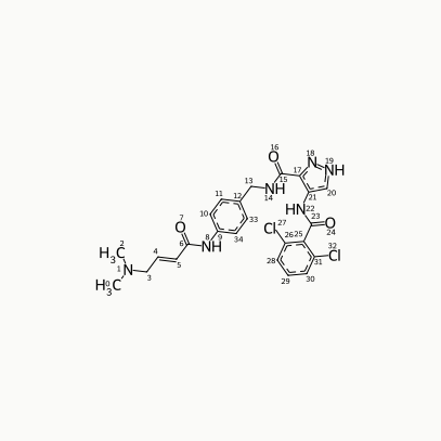 CN(C)CC=CC(=O)Nc1ccc(CNC(=O)c2n[nH]cc2NC(=O)c2c(Cl)cccc2Cl)cc1